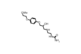 COCCOc1ccc(OCC(O)CNCCNC(N)=O)cc1